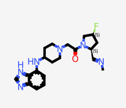 CN=C[C@@H]1C[C@H](F)CN1C(=O)CN1CCC(Nc2cccc3nc[nH]c23)CC1